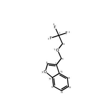 FC(F)(F)COCc1[c]oc2ccccc12